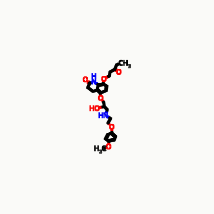 CCC(=O)CCOc1ccc(OCC(O)CNCCOc2ccc(OC)cc2)c2c1NC(=O)CC2